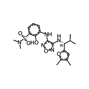 Cc1cc([C@H](Nc2nonc2Nc2cccc(S(=O)(=O)N(C)C)c2O)C(C)C)oc1C